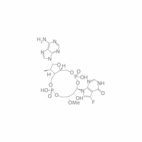 CO[C@@H]1COP(=O)(O)OC[C@H]2[C@@H](C)[C@H](n3cnc4c(N)ncnc43)O[C@@H]2COP(=O)(O)O[C@@H](n2cc(F)c3c(=O)[nH]cnc32)[C@@H]1O